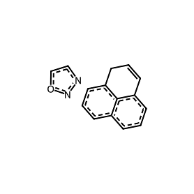 C1=Cc2cccc3cccc(c23)C1.c1conn1